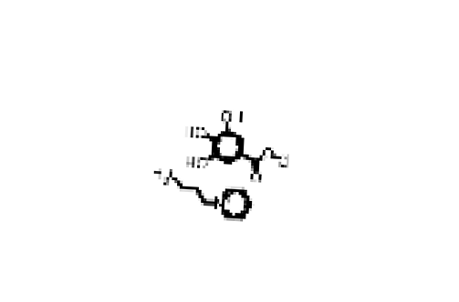 CCCC[n+]1ccccc1.O=C(OCl)c1cc(O)c(O)c(O)c1